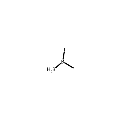 BB(C)I